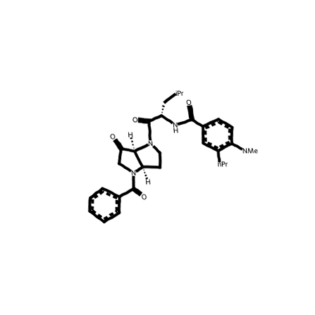 CCCc1cc(C(=O)N[C@@H](CC(C)C)C(=O)N2CC[C@@H]3[C@H]2C(=O)CN3C(=O)c2ccccc2)ccc1NC